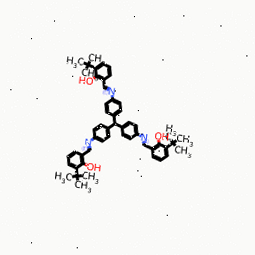 CC(C)(C)c1cccc(/C=N/c2ccc(C(c3ccc(/N=C/c4cccc(C(C)(C)C)c4O)cc3)c3ccc(/N=C/c4cccc(C(C)(C)C)c4O)cc3)cc2)c1O